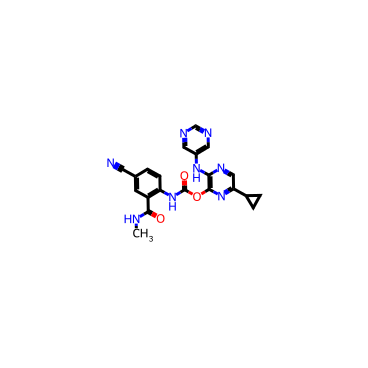 CNC(=O)c1cc(C#N)ccc1NC(=O)Oc1nc(C2CC2)cnc1Nc1cncnc1